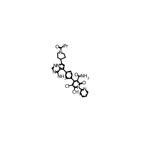 Cc1c(Cl)c(-c2ccc(-c3cc(C4CCN(C(=O)C(C)C)CC4)n4ncnc(N)c34)cc2)c(C(N)=O)c(=O)n1-c1ccccn1